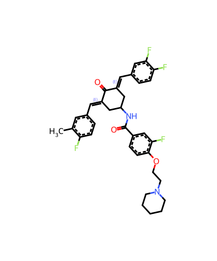 Cc1cc(/C=C2\CC(NC(=O)c3ccc(OCCN4CCCCC4)c(F)c3)C/C(=C\c3ccc(F)c(F)c3)C2=O)ccc1F